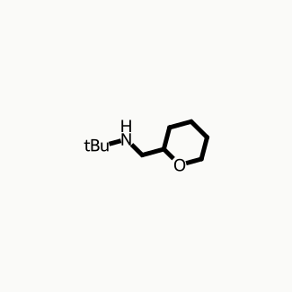 CC(C)(C)NCC1CCCCO1